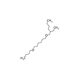 CCCCOCCCCCCOCC(CC)CCCC